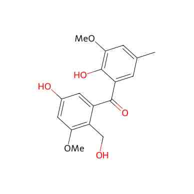 COc1cc(C)cc(C(=O)c2cc(O)cc(OC)c2CO)c1O